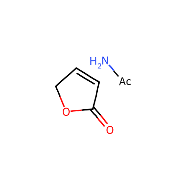 CC(N)=O.O=C1C=CCO1